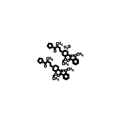 CCOC1CN(CCN(C)C(=O)N2CCCC2)CCC1NC(=O)c1ccccc1OC.CCOC1CN(CCN(C)C(=O)N2CCCC2)CCC1NC(=O)c1ccccc1OC.O